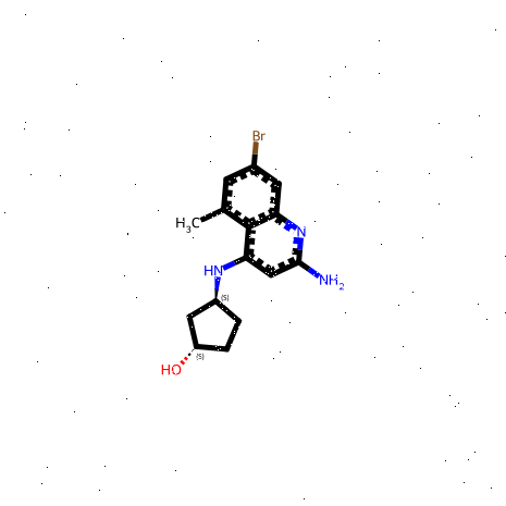 Cc1cc(Br)cc2nc(N)cc(N[C@H]3CC[C@H](O)C3)c12